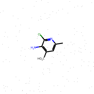 Cc1cc(C(=O)O)c(N)c(Cl)n1